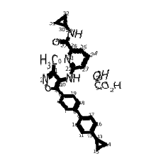 Cc1noc(-c2ccc(-c3ccc(C4CC4)cc3)cc2)c1Nc1cccc(C(=O)NC2CC2)n1.O=C(O)O